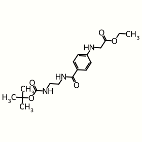 CCOC(=O)CNc1ccc(C(=O)NCCNC(=O)OC(C)(C)C)cc1